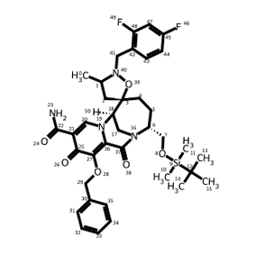 CC1C[C@]2(CC[C@H](CO[Si](C)(C)C(C)(C)C)N3C[C@H]2n2cc(C(N)=O)c(=O)c(OCc4ccccc4)c2C3=O)ON1Cc1ccc(F)cc1F